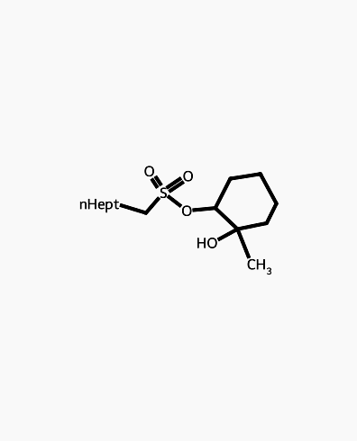 CCCCCCCCS(=O)(=O)OC1CCCCC1(C)O